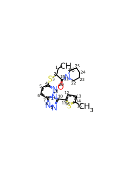 CCC(Sc1ccc2nnc(-c3ccc(C)s3)n2n1)C(=O)N1CCCCC1